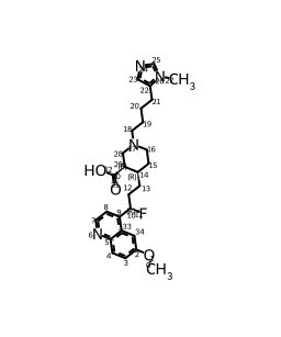 COc1ccc2nccc([C@H](F)CC[C@@H]3CCN(CCCCc4cncn4C)C[C@@H]3C(=O)O)c2c1